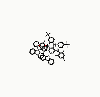 Cc1cc(C)c(B2c3cc(C(C)(C)C)ccc3N3c4ccc(C(C)(C)C)cc4B(c4c(C)cc(C)cc4C)c4cc(-n5c6ccccc6c6cccc(-c7cccc8c7C7(c9ccccc9-c9ccccc97)c7ccccc7-8)c65)cc2c43)c(C)c1